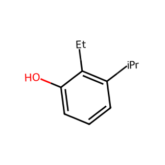 [CH2]C(C)c1cccc(O)c1CC